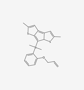 C=CCOc1ccccc1[Si](C)(C)C1=c2sc(C)cc2=C2C=C(C)SC21